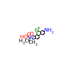 CC(C)C(C(=O)O)N1Cc2ccc(-c3ccc(N)cc3C(F)(F)F)cc2C1=O